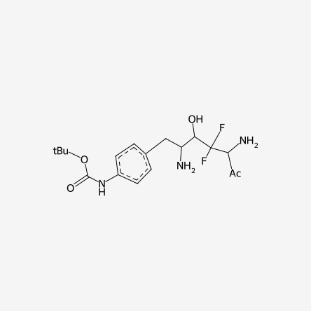 CC(=O)C(N)C(F)(F)C(O)C(N)Cc1ccc(NC(=O)OC(C)(C)C)cc1